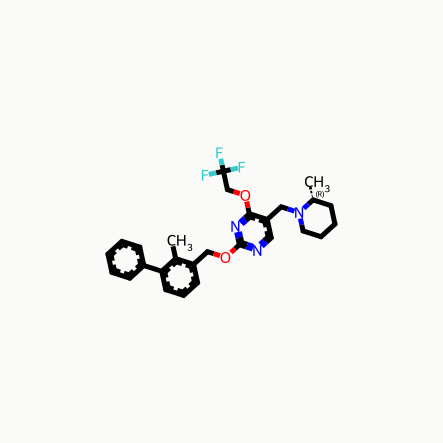 Cc1c(COc2ncc(CN3CCCC[C@H]3C)c(OCC(F)(F)F)n2)cccc1-c1ccccc1